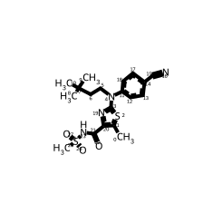 Cc1sc(N(CCC(C)(C)C)c2ccc(C#N)cc2)nc1C(=O)NS(C)(=O)=O